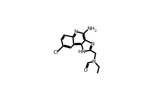 CCN(C=O)Cc1nc2c(N)nc3ccc(Cl)cc3c2[nH]1